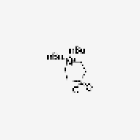 CCCC[N+]1(CCCC)CCS(=O)(=O)CC1